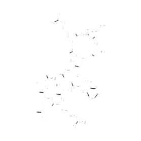 CC[C@H](C)[C@H](NC(=O)[C@@H](Cc1ccccc1)NC)C(=O)N[C@@H](CCCNC(=N)N)C(=O)N[C@H](CCC(N)=O)C(=O)N[C@@H](C(=O)N[C@H](C(=O)N[C@@H](CO)C(=O)N[C@H]1C(=O)N[C@@H](CCCNC(=N)N)C(=O)NC2(CC2CC(F)F)C(=O)N[C@@H]([C@@H](C)CC)C(=O)O[C@H]1C)[C@@H](C)CC)[C@@H](C)CC